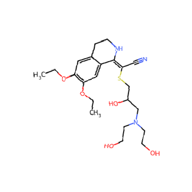 CCOc1cc2c(cc1OCC)C(=C(C#N)SCC(O)CN(CCO)CCO)NCC2